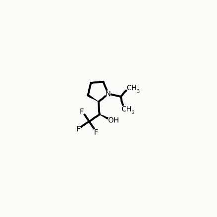 CC(C)N1CCC[C@@H]1[C@@H](O)C(F)(F)F